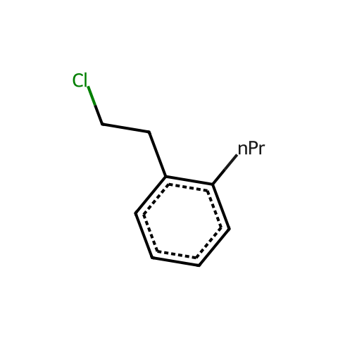 CCCc1ccccc1CCCl